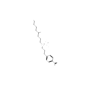 CCCCCC(O)CCCN(CCCc1ccc(C(=O)O)cc1)S(C)(=O)=O